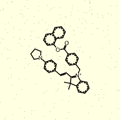 CC1(C)C(/C=C/c2ccc(N3CCCC3)cc2)=[N+](Cc2ccc(C(=O)Oc3cccc4ccccc34)cc2)c2ccccc21